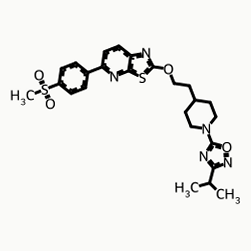 CC(C)c1noc(N2CCC(CCOc3nc4ccc(-c5ccc(S(C)(=O)=O)cc5)nc4s3)CC2)n1